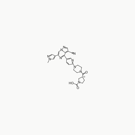 Cn1cc(-c2cn3ncc(C#N)c3c(-c3ccc(N4CCN(C(=O)[C@H]5CCN(C(=O)O)C5)CC4)nc3)n2)cn1